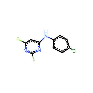 Fc1cc(Nc2ccc(Cl)cc2)nc(F)n1